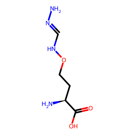 NN=CNOCC[C@H](N)C(=O)O